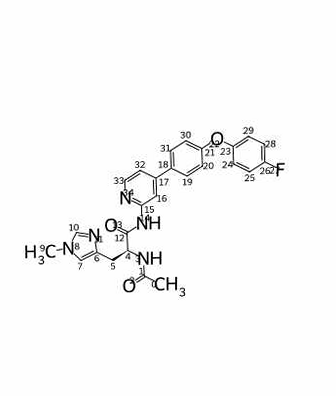 CC(=O)N[C@@H](Cc1cn(C)cn1)C(=O)Nc1cc(-c2ccc(Oc3ccc(F)cc3)cc2)ccn1